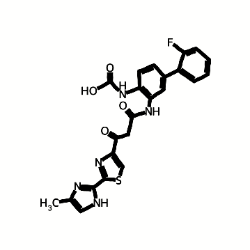 Cc1c[nH]c(-c2nc(C(=O)CC(=O)Nc3cc(-c4ccccc4F)ccc3NC(=O)O)cs2)n1